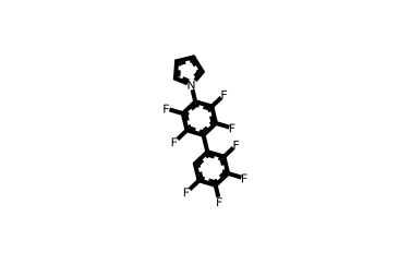 Fc1cc(-c2c(F)c(F)c(-n3cccc3)c(F)c2F)c(F)c(F)c1F